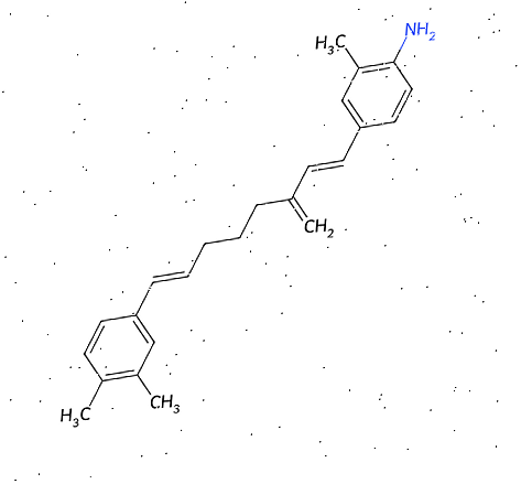 C=C(/C=C/c1ccc(N)c(C)c1)CCC/C=C/c1ccc(C)c(C)c1